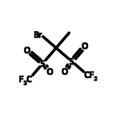 CC(Br)(S(=O)(=O)C(F)(F)F)S(=O)(=O)C(F)(F)F